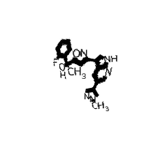 Cn1cc(-c2cnc3[nH]cc(-c4cc([C@](C)(O)c5ccccc5F)on4)c3c2)cn1